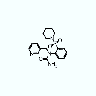 NC(=O)N(Cc1cccnc1)c1ccccc1S(=O)(=O)N1CCCCC1